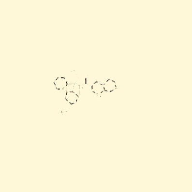 COc1ccc2cc(C(=O)N[C@]3(c4ccc(OC(F)(F)F)cc4)CCOc4cccnc43)cnc2c1